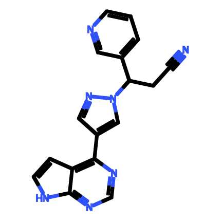 N#CCC(c1cccnc1)n1cc(-c2ncnc3[nH]ccc23)cn1